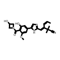 C/C=C\C(=C/c1ncc(-c2cc(O)c(C(=O)N3CC(O)C3)c(OC)c2)[nH]1)C(C)(C)C#N